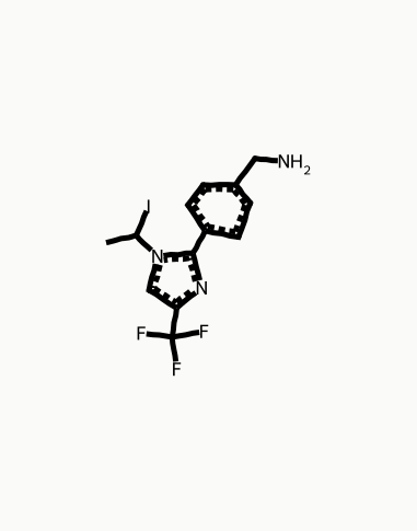 CC(I)n1cc(C(F)(F)F)nc1-c1ccc(CN)cc1